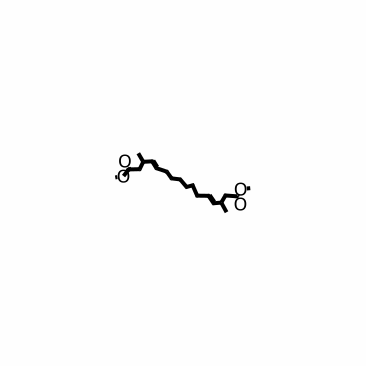 COC(=O)CC(C)/C=C/CCCCCC/C=C/C(C)CC(=O)OC